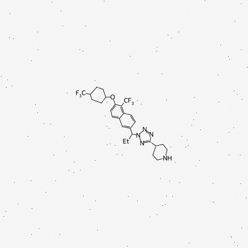 CCC(c1ccc2c(C(F)(F)F)c(OC3CCC(C(F)(F)F)CC3)ccc2c1)n1nnc(C2CCNCC2)n1